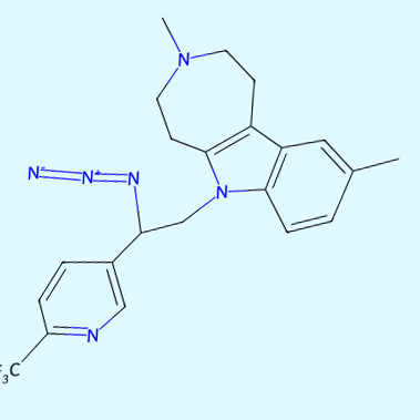 Cc1ccc2c(c1)c1c(n2CC(N=[N+]=[N-])c2ccc(C(F)(F)F)nc2)CCN(C)CC1